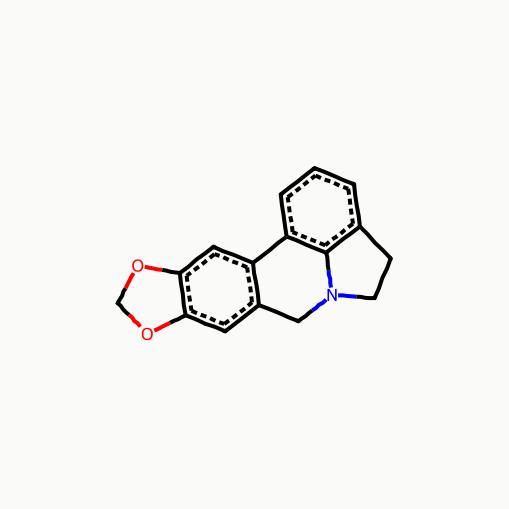 c1cc2c3c(c1)-c1cc4c(cc1CN3CC2)OCO4